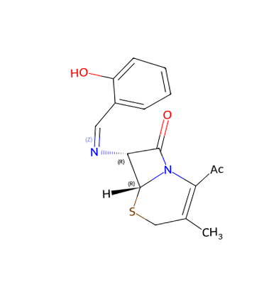 CC(=O)C1=C(C)CS[C@@H]2[C@H](/N=C\c3ccccc3O)C(=O)N12